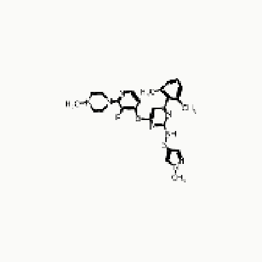 Cc1cccc(C)c1-c1cc(Oc2ccnc(N3CCN(C)CC3)c2F)nc(NSc2cnn(C)c2)n1